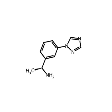 C[C@H](N)c1cccc(-n2cncn2)c1